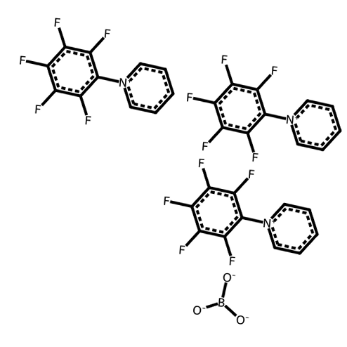 Fc1c(F)c(F)c(-[n+]2ccccc2)c(F)c1F.Fc1c(F)c(F)c(-[n+]2ccccc2)c(F)c1F.Fc1c(F)c(F)c(-[n+]2ccccc2)c(F)c1F.[O-]B([O-])[O-]